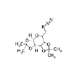 CC1(C)OC2C(CN=[N+]=[N-])O[C@@H]3OC(C)(C)O[C@@H]3C2O1